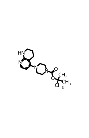 CC(C)(C)OC(=O)N1CCN(c2ccnc3c2CCCN3)CC1